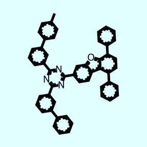 Cc1ccc(-c2cccc(-c3nc(-c4cccc(-c5ccccc5)c4)nc(-c4ccc5c(c4)oc4c(-c6ccccc6)ccc(-c6ccccc6)c45)n3)c2)cc1